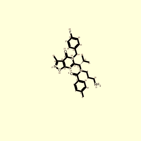 Cc1ccc(C(=O)N(CCCN)[C@H](c2nc3onc(C)c3c(=O)n2Cc2ccc(F)cc2)C(C)C)cc1